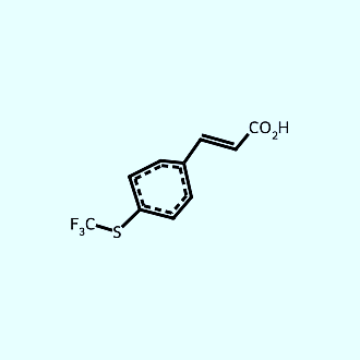 O=C(O)/C=C/c1ccc(SC(F)(F)F)cc1